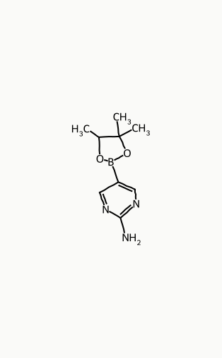 CC1OB(c2cnc(N)nc2)OC1(C)C